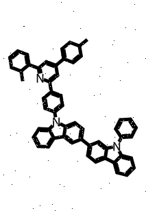 CC1C=CC(c2cc(C3=CC=CCC3C)nc(-c3ccc(-n4c5ccccc5c5cc(-c6ccc7c8ccccc8n(-c8ccccc8)c7c6)ccc54)cc3)c2)=CC1